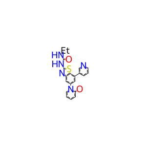 CCNC(=O)Nc1nc2cc(-n3ccccc3=O)cc(-c3cccnc3)c2s1